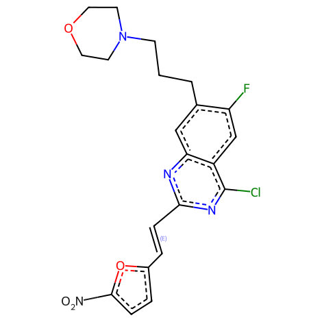 O=[N+]([O-])c1ccc(/C=C/c2nc(Cl)c3cc(F)c(CCCN4CCOCC4)cc3n2)o1